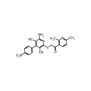 Cc1ccc(C(=O)CSc2nc(N)c(C#N)c(-c3ccc([N+](=O)[O-])cc3)c2C#N)c(C)n1